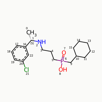 C[C@H](NCCCP(=O)(O)CC1CCCCC1)c1cccc(Cl)c1